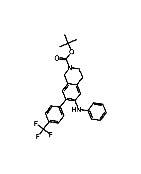 CC(C)(C)OC(=O)N1CCc2cc(Nc3ccccc3)c(-c3ccc(C(F)(F)F)cc3)cc2C1